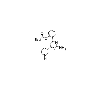 CC(C)(C)C(=O)Oc1ccccc1-c1cc(C2CCCNC2)nc(N)n1